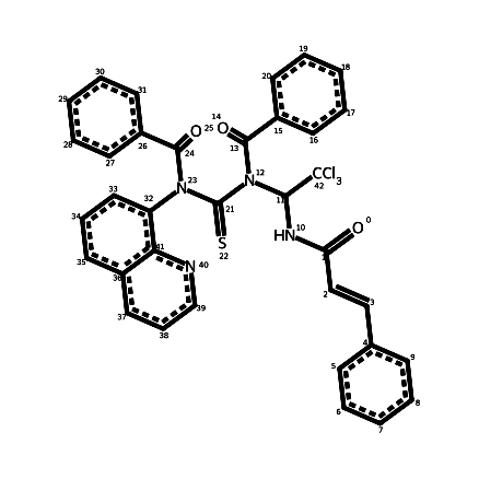 O=C(/C=C/c1ccccc1)NC(N(C(=O)c1ccccc1)C(=S)N(C(=O)c1ccccc1)c1cccc2cccnc12)C(Cl)(Cl)Cl